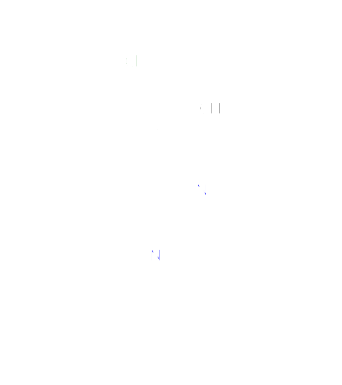 Cc1c(Cl)ccc2c1N=C1CCCCCN1C2